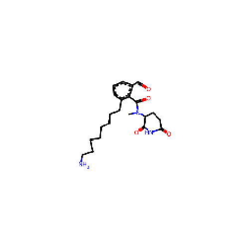 CN(C(=O)c1c(C=O)cccc1CCCCCCCCN)C1CCC(=O)NC1=O